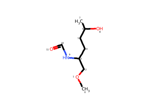 COCC(CCC(C)O)NC=O